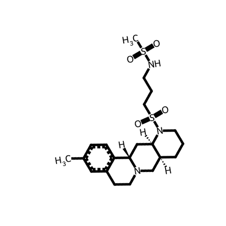 Cc1ccc2c(c1)CCN1C[C@@H]3CCCN(S(=O)(=O)CCCNS(C)(=O)=O)[C@@H]3C[C@@H]21